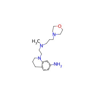 CN(CCCN1CCOCC1)CCN1CCCc2ccc(N)cc21